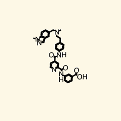 CN(CCc1ccc(NC(=O)c2ccnc(C(=O)Nc3cccc(C(=O)O)c3)c2)cc1)Cc1ccc2c(cnn2C)c1